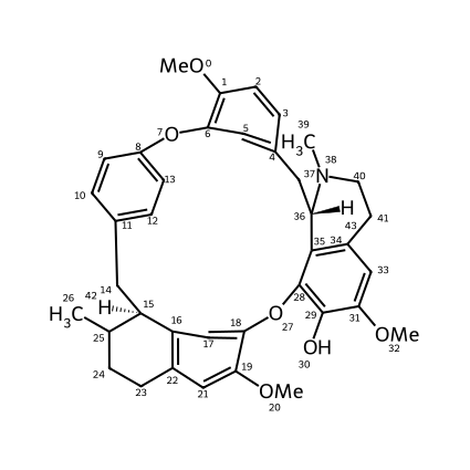 COc1ccc2cc1Oc1ccc(cc1)C[C@H]1c3cc(c(OC)cc3CCC1C)Oc1c(O)c(OC)cc3c1[C@H](C2)N(C)CC3